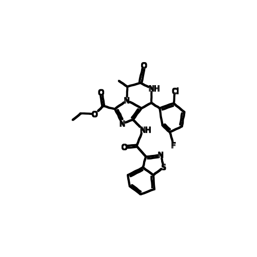 CCOC(=O)c1nc(NC(=O)c2nsc3ccccc23)c2n1C(C)C(=O)NC2c1cc(F)ccc1Cl